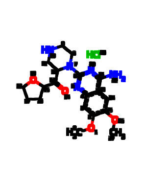 COc1cc2nc(N3CCNCC3C(=O)C3CCCO3)nc(N)c2cc1OC.Cl